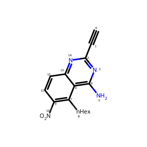 C#Cc1nc(N)c2c(CCCCCC)c([N+](=O)[O-])ccc2n1